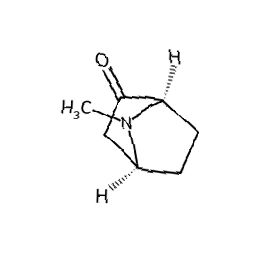 CN1[C@H]2CC[C@@H]1C(=O)C2